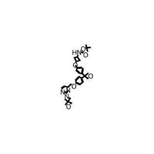 CC(C)(C)OC(=O)NC1CC(Oc2ccc(C3(c4ccc(OCc5ccnc(N6CC7(COC7)C6)n5)cc4)COC3)cc2)C1